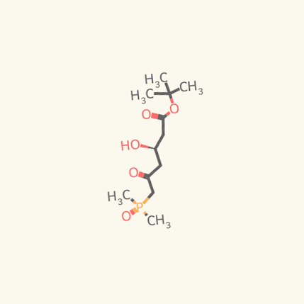 CC(C)(C)OC(=O)C[C@H](O)CC(=O)CP(C)(C)=O